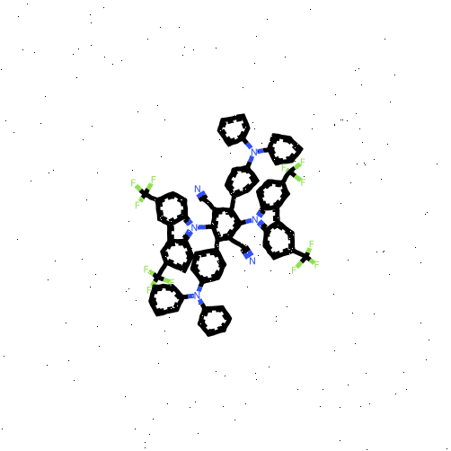 N#Cc1c(-c2ccc(N(c3ccccc3)c3ccccc3)cc2)c(-n2c3ccc(C(F)(F)F)cc3c3cc(C(F)(F)F)ccc32)c(C#N)c(-c2ccc(N(c3ccccc3)c3ccccc3)cc2)c1-n1c2ccc(C(F)(F)F)cc2c2cc(C(F)(F)F)ccc21